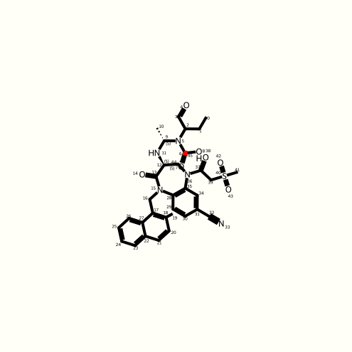 CCC(C=O)N(C(=O)O)[C@@H](C)N[C@@H]1C(=O)N(Cc2c(C)ccc3ccccc23)c2ccc(C#N)cc2N(C(=O)CS(C)(=O)=O)[C@H]1C